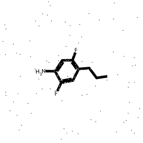 CCCc1cc(F)c(N)cc1F